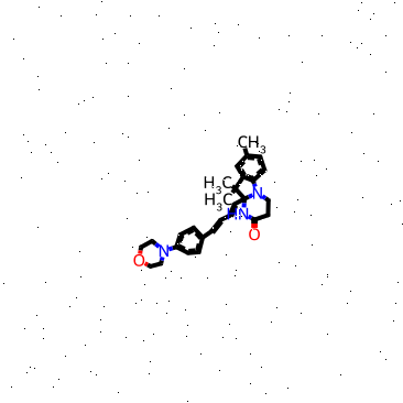 Cc1ccc2c(c1)C(C)(C)C1(C=CC=Cc3ccc(N4CCOCC4)cc3)NC(=O)CCN21